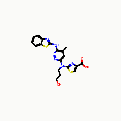 Cc1cc(N(CCCO)c2nc(C(=O)O)cs2)nnc1Nc1nc2ccccc2s1